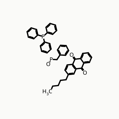 CCCCCc1ccc2c(c1)C(=O)c1ccccc1C2=O.O=PCc1ccccc1.c1ccc(P(c2ccccc2)c2ccccc2)cc1